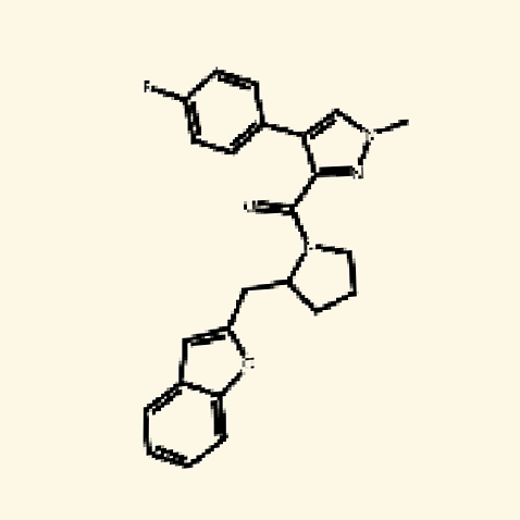 Cn1cc(-c2ccc(F)cc2)c(C(=O)N2CCCC2Cc2cc3ccccc3o2)n1